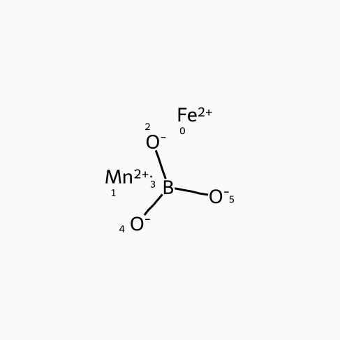 [Fe+2].[Mn+2].[O-]B([O-])[O-]